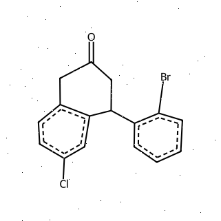 O=C1Cc2ccc(Cl)cc2C(c2ccccc2Br)C1